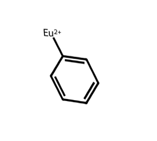 [Eu+2][c]1ccccc1